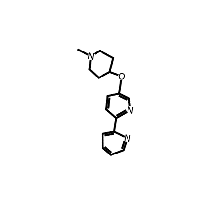 CN1CCC(Oc2ccc(-c3ccccn3)nc2)CC1